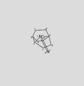 [N-]=[N+]1C2CCC13CCC2CC3